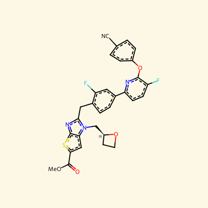 COC(=O)c1cc2c(nc(Cc3ccc(-c4ccc(F)c(Oc5ccc(C#N)cc5)n4)cc3F)n2C[C@@H]2CCO2)s1